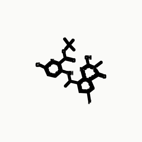 CC(Nc1ccc(Cl)nc1C(=O)OC(C)(C)C)c1cc(F)cc2c(=O)n(C)c(O)nc12